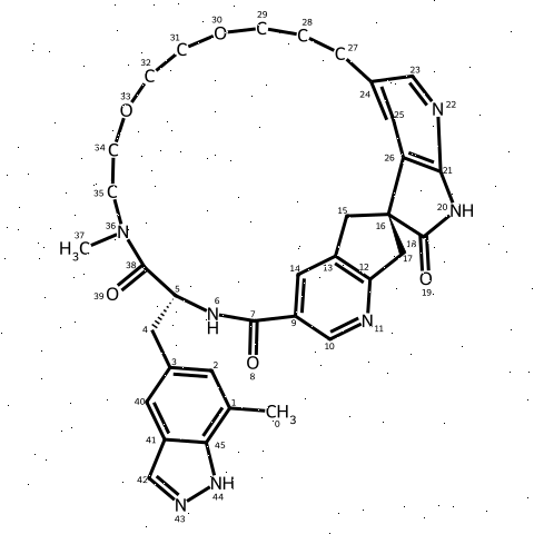 Cc1cc(C[C@H]2NC(=O)c3cnc4c(c3)C[C@@]3(C4)C(=O)Nc4ncc(cc43)CCCOCCOCCN(C)C2=O)cc2cn[nH]c12